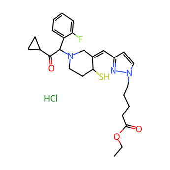 CCOC(=O)CCCCn1ccc(C=C2CN(C(C(=O)C3CC3)c3ccccc3F)CCC2S)n1.Cl